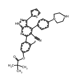 CC(C)(C)C(=O)Oc1ccc(-c2nc3[nH]nc(-c4cccs4)c3c(-c3ccc(N4CCNCC4)cc3)c2C#N)c(F)c1